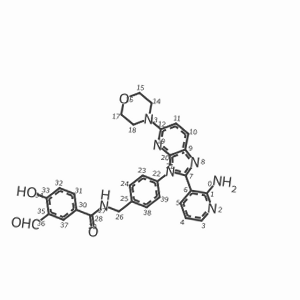 Nc1ncccc1-c1nc2ccc(N3CCOCC3)nc2n1-c1ccc(CNC(=O)c2ccc(O)c(C=O)c2)cc1